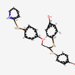 Oc1ccc(SC(COc2ccc(Sc3ccccn3)cc2)Sc2ccc(O)cc2)cc1